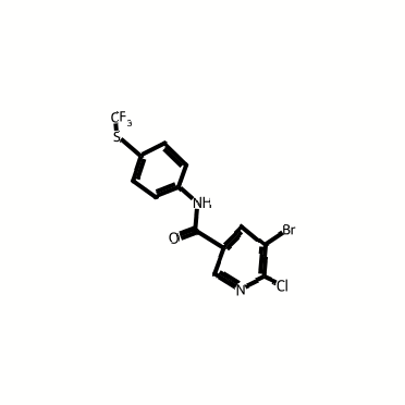 O=C(Nc1ccc(SC(F)(F)F)cc1)c1cnc(Cl)c(Br)c1